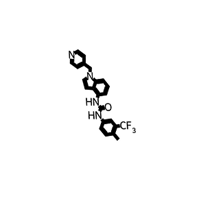 Cc1ccc(NC(=O)Nc2cccc3c2ccn3Cc2ccncc2)cc1C(F)(F)F